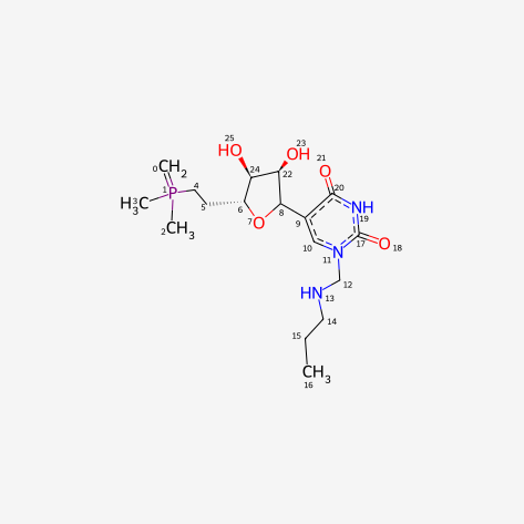 C=P(C)(C)CC[C@H]1OC(c2cn(CNCCC)c(=O)[nH]c2=O)[C@H](O)[C@@H]1O